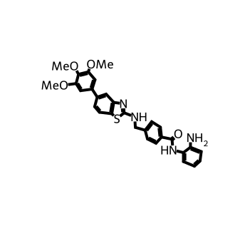 COc1cc(-c2ccc3sc(NCc4ccc(C(=O)Nc5ccccc5N)cc4)nc3c2)cc(OC)c1OC